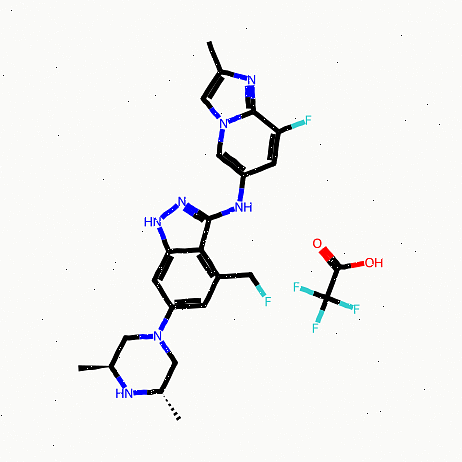 Cc1cn2cc(Nc3n[nH]c4cc(N5C[C@H](C)N[C@@H](C)C5)cc(CF)c34)cc(F)c2n1.O=C(O)C(F)(F)F